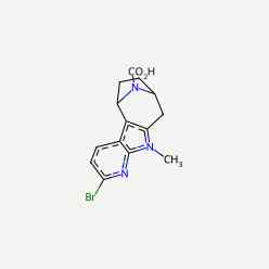 Cn1c2c(c3ccc(Br)nc31)C1CCC(C2)N1C(=O)O